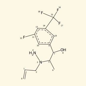 C=CCN(N)C(C)C(O)c1cc(F)cc(C(F)(F)F)c1